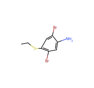 CCSc1cc(Br)c(N)cc1Br